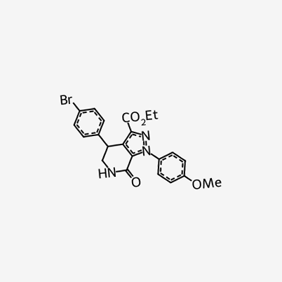 CCOC(=O)c1nn(-c2ccc(OC)cc2)c2c1C(c1ccc(Br)cc1)CNC2=O